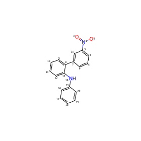 O=[N+]([O-])c1cccc(-c2ccccc2Nc2ccccc2)c1